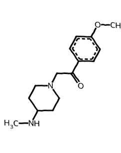 CNC1CCN(CC(=O)c2ccc(OC)cc2)CC1